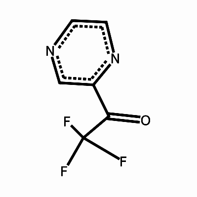 O=C(c1cnccn1)C(F)(F)F